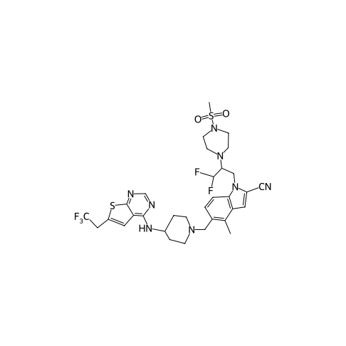 Cc1c(CN2CCC(Nc3ncnc4sc(CC(F)(F)F)cc34)CC2)ccc2c1cc(C#N)n2CC(C(F)F)N1CCN(S(C)(=O)=O)CC1